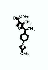 COC(=O)c1csc(C(C)C2CCC(N3CC(OC)C3)CC2)c1C